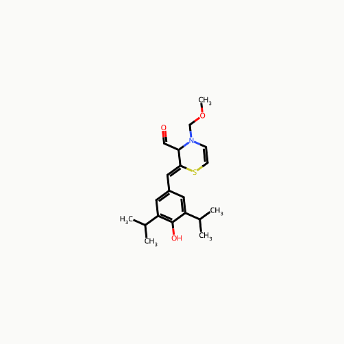 COCN1C=CSC(=Cc2cc(C(C)C)c(O)c(C(C)C)c2)C1C=O